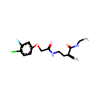 C=C(CCNC(=O)COc1ccc(Cl)c(F)c1)C(=O)NCC